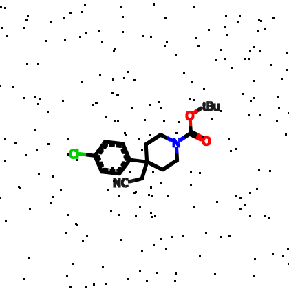 CC(C)(C)OC(=O)N1CCC(CC#N)(c2ccc(Cl)cc2)CC1